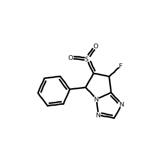 O=S(=O)=C1C(F)c2ncnn2C1c1ccccc1